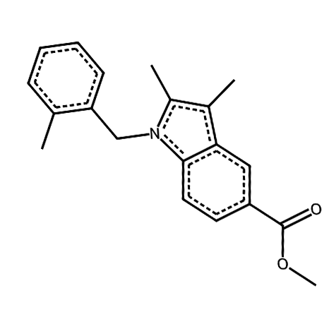 COC(=O)c1ccc2c(c1)c(C)c(C)n2Cc1ccccc1C